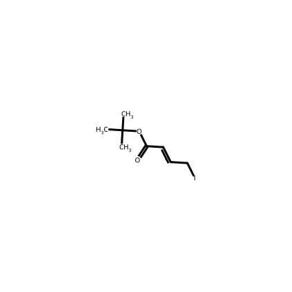 CC(C)(C)OC(=O)C=CCI